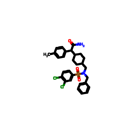 Cc1ccc(C(C(N)=O)C2CCC(CN(Cc3ccccc3)S(=O)(=O)c3ccc(Cl)c(Cl)c3)CC2)cc1